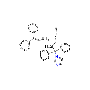 BC=C(c1ccccc1)c1ccccc1.C=CCC[SiH2]C(c1ccccc1)(c1ccccc1)n1ccnc1